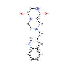 O=C1NCC(=O)N2CCN(Cc3cnc4ccccc4c3)CC12